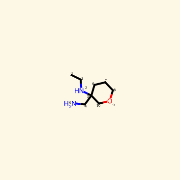 CCNC1(CN)CCCOC1